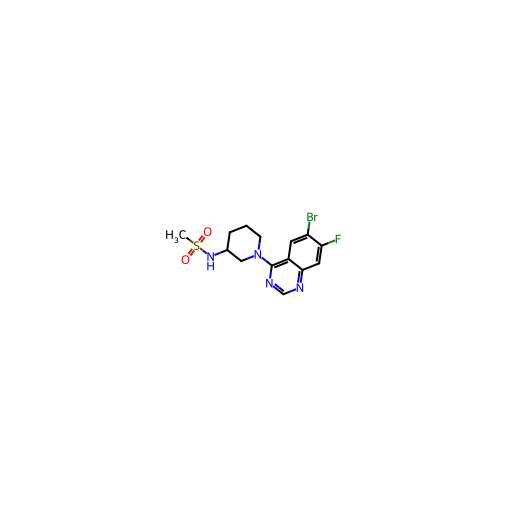 CS(=O)(=O)NC1CCCN(c2ncnc3cc(F)c(Br)cc23)C1